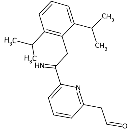 CC(C)c1cccc(C(C)C)c1CC(=N)c1cccc(CC=O)n1